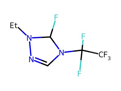 CCN1N=CN(C(F)(F)C(F)(F)F)C1F